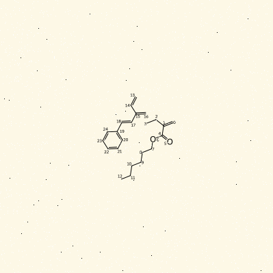 C=C(CC)C(=O)OCCCCCC.C=CC(=C)C=Cc1ccccc1